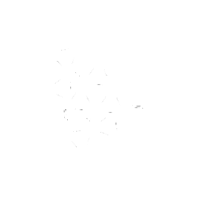 N#Cc1ccc(-c2ccccc2-n2c3ccccc3c3ccccc32)c(-c2cccc(-n3c4ccccc4c4ccc(C#N)cc43)c2)c1